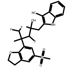 CC(O)(Cc1[nH]c2ccccc2c1C#N)C(F)C(C)(c1cc(S(C)(=O)=O)cc2c1OCC2)C(F)F